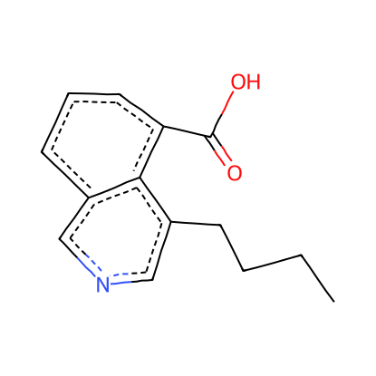 CCCCc1cncc2cccc(C(=O)O)c12